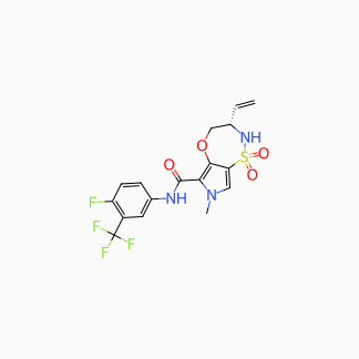 C=C[C@H]1COc2c(cn(C)c2C(=O)Nc2ccc(F)c(C(F)(F)F)c2)S(=O)(=O)N1